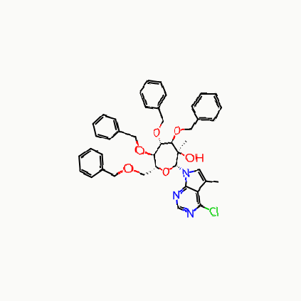 Cc1cn([C@@H]2O[C@H](COCc3ccccc3)[C@@H](OCc3ccccc3)[C@H](OCc3ccccc3)[C@@H](OCc3ccccc3)[C@@]2(C)O)c2ncnc(Cl)c12